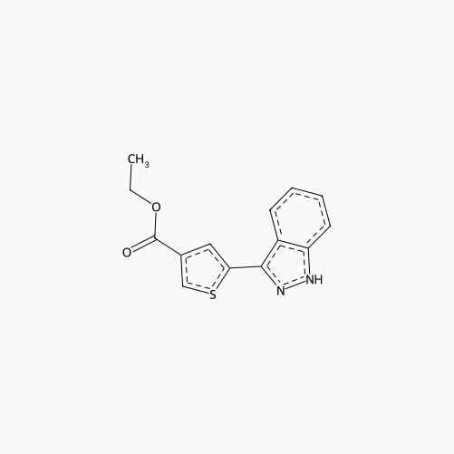 CCOC(=O)c1csc(-c2n[nH]c3ccccc23)c1